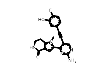 Cn1c(-c2nc(N)ncc2C#Cc2ccc(F)c(O)c2)cc2c1CCNC2=O